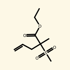 C=CCC(C)(C(=O)OCC)S(C)(=O)=O